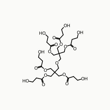 O=C(CCO)OCC(COCC(COC(=O)CCO)(COC(=O)CCO)COC(=O)CCO)(COC(=O)CCO)COC(=O)CCO